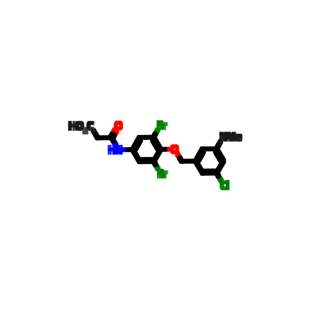 CNc1cc(Cl)cc(COc2c(Br)cc(NC(=O)CC(=O)O)cc2Br)c1